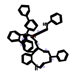 C1=C\C=C\NC(=C\Nc2ccccc2)/C=C\C2=C(c3ccccc3N/C=C/C=C(c3ccccc3)\C=C\2)c2ccc3c(c2\C=C/1)c1ccccc1n3-c1cccc(-c2ccccc2)c1